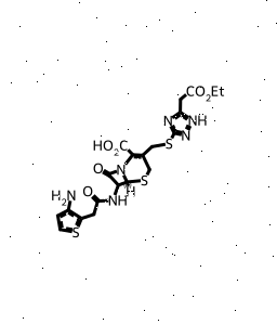 CCOC(=O)Cc1nc(SCC2=C(C(=O)O)N3C(=O)C(NC(=O)Cc4sccc4N)[C@H]3SC2)n[nH]1